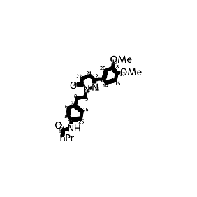 CCCC(=O)Nc1ccc(CCN2N=C(c3ccc(OC)c(OC)c3)CCC2=O)cc1